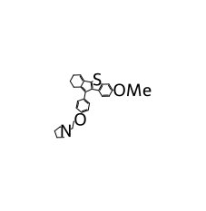 COc1ccc2c3c(sc2c1)C1=CCCCC1=C3c1ccc(OCCN2CCCC2)cc1